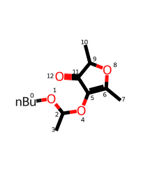 CCCCOC(C)OC1=C(C)OC(C)C1=O